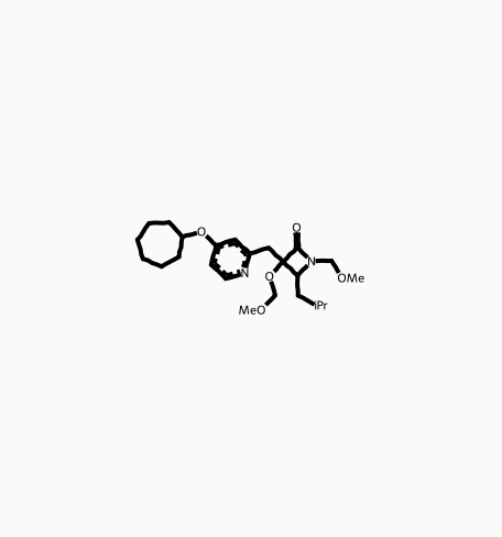 COCOC1(Cc2cc(OC3CCCCCC3)ccn2)C(=O)N(COC)C1CC(C)C